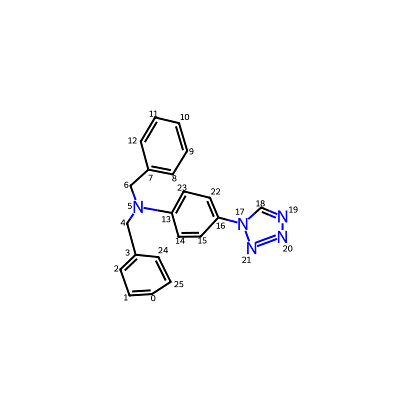 c1ccc(CN(Cc2ccccc2)c2ccc(-n3cnnn3)cc2)cc1